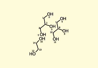 OCC(O)CO.OCC(O)CO.OCCO